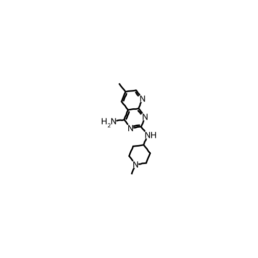 Cc1cnc2nc(NC3CCN(C)CC3)nc(N)c2c1